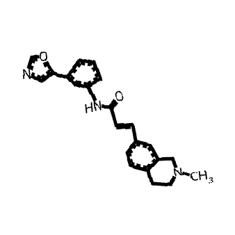 CN1CCc2ccc(/C=C/C(=O)Nc3cccc(-c4cnco4)c3)cc2C1